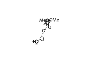 COC(CN(C(=O)CCOCCc1cccc(-c2cnn(C)c2)c1)[C@H](C)C(C)C)OC